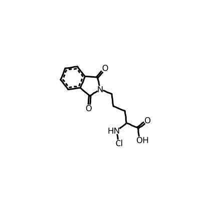 O=C(O)C(CCCN1C(=O)c2ccccc2C1=O)NCl